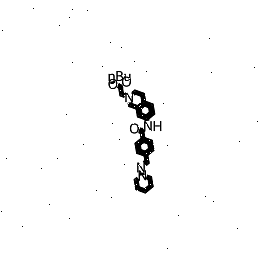 CCCCOC(=O)CN1CCc2ccc(NC(=O)c3ccc(/C=N/N4CCCCC4)cc3)cc2C1